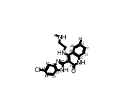 CNCCNc1c(-c2nc3cc(Cl)ccc3[nH]2)c(=O)[nH]c2ccc(C)cc12